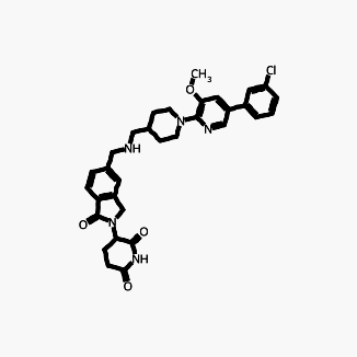 COc1cc(-c2cccc(Cl)c2)cnc1N1CCC(CNCc2ccc3c(c2)CN(C2CCC(=O)NC2=O)C3=O)CC1